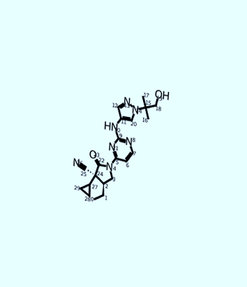 CC[C@@H]1CN(c2ccnc(Nc3cnn(C(C)(C)CO)c3)n2)C(=O)[C@]1(C#N)C1CC1